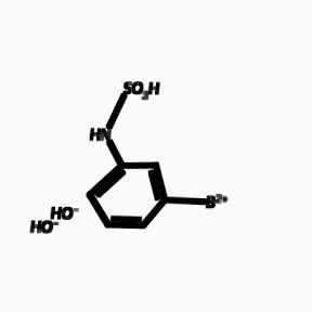 [B+2]c1cccc(NS(=O)(=O)O)c1.[OH-].[OH-]